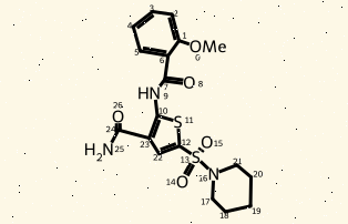 COc1ccccc1C(=O)Nc1sc(S(=O)(=O)N2CCCCC2)cc1C(N)=O